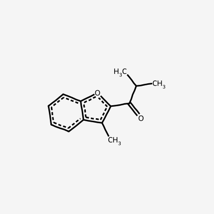 Cc1c(C(=O)C(C)C)oc2ccccc12